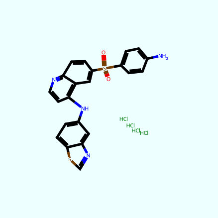 Cl.Cl.Cl.Cl.Nc1ccc(S(=O)(=O)c2ccc3nccc(Nc4ccc5scnc5c4)c3c2)cc1